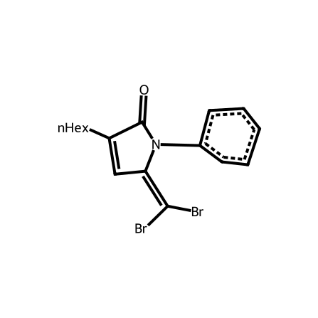 CCCCCCC1=CC(=C(Br)Br)N(c2ccccc2)C1=O